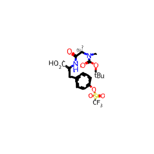 C[C@@H](C(=O)NC(Cc1ccc(OS(=O)(=O)C(F)(F)F)cc1)C(=O)O)N(C)C(=O)OC(C)(C)C